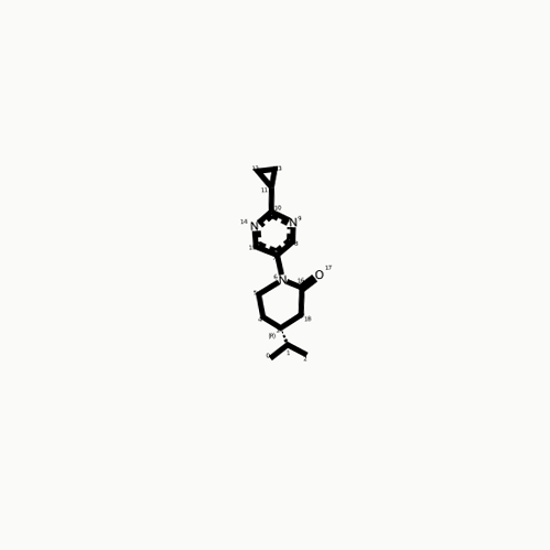 CC(C)[C@@H]1CCN(c2cnc(C3CC3)nc2)C(=O)C1